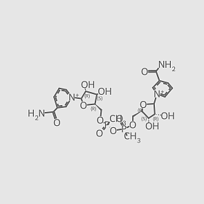 CP(=O)(OC[C@H]1OC([n+]2cccc(C(N)=O)c2)[C@H](O)[C@@H]1O)OP(C)(=O)OC[C@H]1OC([n+]2cccc(C(N)=O)c2)[C@H](O)[C@@H]1O